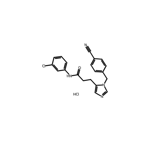 Cl.N#Cc1ccc(Cn2cncc2CCC(=O)Nc2cccc(Cl)c2)cc1